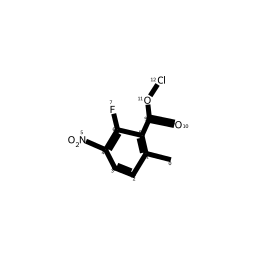 Cc1ccc([N+](=O)[O-])c(F)c1C(=O)OCl